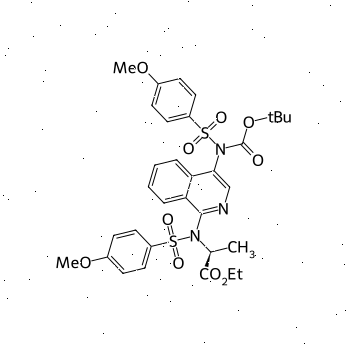 CCOC(=O)[C@H](C)N(c1ncc(N(C(=O)OC(C)(C)C)S(=O)(=O)c2ccc(OC)cc2)c2ccccc12)S(=O)(=O)c1ccc(OC)cc1